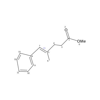 COC(=O)CC/C(C)=C/c1ccccc1